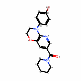 O=C(c1cnc2c(c1)OCCN2c1ccc(Br)cc1)N1CCCCC1